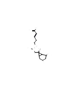 C=C(/C=C/CCNP(C)CC1(N)C2CCCC(C)C21)CC